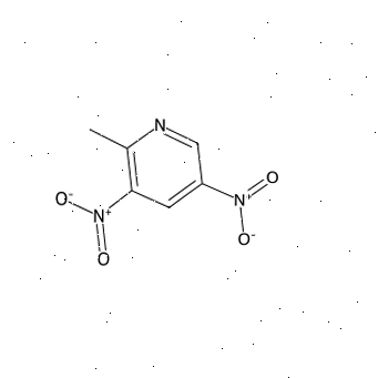 Cc1ncc([N+](=O)[O-])cc1[N+](=O)[O-]